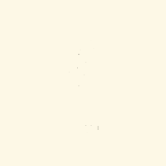 CC1C2CC(C(=O)OCCCCCC(=O)O)C(C2)C1C